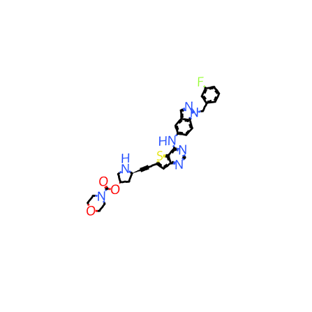 O=C(O[C@@H]1CN[C@@H](C#Cc2cc3ncnc(Nc4ccc5c(cnn5Cc5cccc(F)c5)c4)c3s2)C1)N1CCOCC1